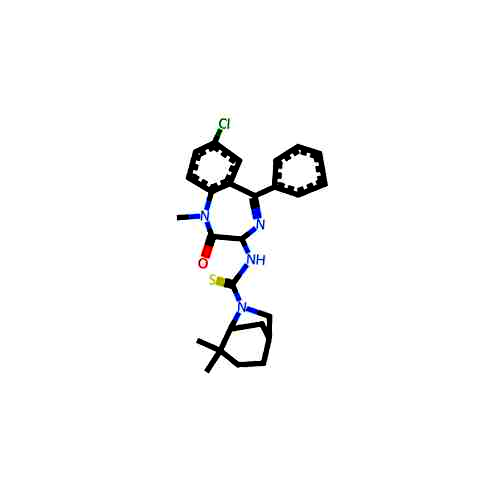 CN1C(=O)C(NC(=S)N2CC3CCC(C)(C)C2C3)N=C(c2ccccc2)c2cc(Cl)ccc21